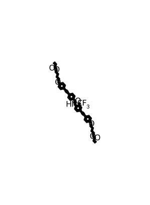 C=CC(=O)OCCCCOc1ccc(C#Cc2ccc(C(=O)Nc3ccc(C#Cc4ccc(OCCCCOC(=O)C=C)cc4)cc3C(F)(F)F)cc2)cc1